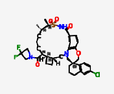 C[C@@H]1[C@@H](C)CCC[C@H](C(=O)N2CC(F)(F)C2)[C@@H]2CC[C@H]2CN2C[C@@]3(CCCc4cc(Cl)ccc43)COc3ccc(cc32)C(=O)NS1(=O)=O